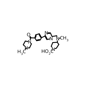 CN1CCN(C(=O)c2ccc(-c3cnc(CN(C)C4CCN(C(=O)O)CC4)cn3)cc2)CC1